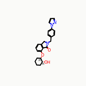 O=C1c2c(cccc2O[C@@H]2CCCC[C@H]2O)CN1Cc1ccc(-n2cccn2)cc1